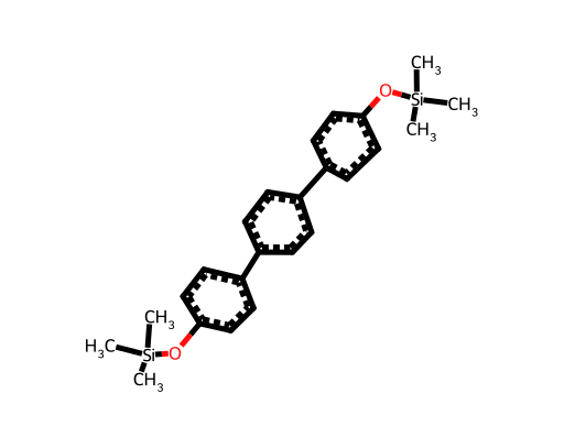 C[Si](C)(C)Oc1ccc(-c2ccc(-c3ccc(O[Si](C)(C)C)cc3)cc2)cc1